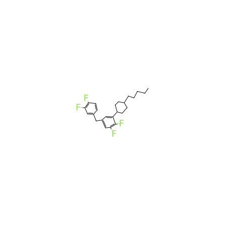 CCCCCC1CCC(c2cc(Cc3ccc(F)c(F)c3)cc(F)c2F)CC1